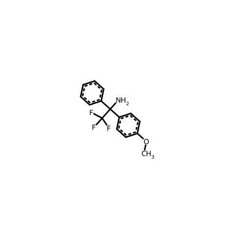 COc1ccc(C(N)(c2ccccc2)C(F)(F)F)cc1